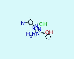 Cl.Cn1c(-c2cccc(C#N)c2)nc2c(N)nc(C#CC3(O)CCCCC3)nc21